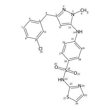 Cn1nc(Cc2cccc(Cl)c2)cc1Nc1ccc(S(=O)(=O)Nc2nccs2)cc1